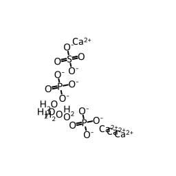 O.O.O.O.O=P([O-])([O-])[O-].O=P([O-])([O-])[O-].O=S(=O)([O-])[O-].[Ca+2].[Ca+2].[Ca+2].[Ca+2]